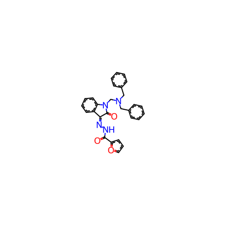 O=C(NN=C1C(=O)N(CN(Cc2ccccc2)Cc2ccccc2)c2ccccc21)c1ccco1